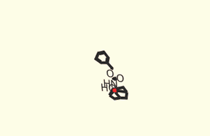 O=C(NC12CC3CC(C1)C(O)C(C3)C2)OCc1ccccc1